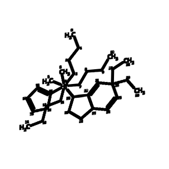 CCC[CH2][Hf]([CH3])([CH3])([CH2]CCC)([CH2]CCC)([C]1=CC=CC1)[CH]1CCC2C=CC(CC)(CC)C=C21